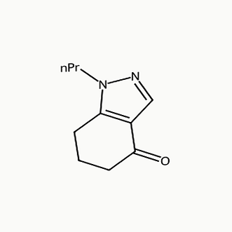 CCCn1ncc2c1CCCC2=O